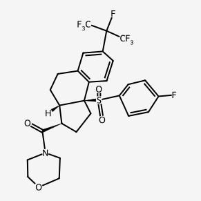 O=C([C@@H]1CC[C@@]2(S(=O)(=O)c3ccc(F)cc3)c3ccc(C(F)(C(F)(F)F)C(F)(F)F)cc3CC[C@@H]12)N1CCOCC1